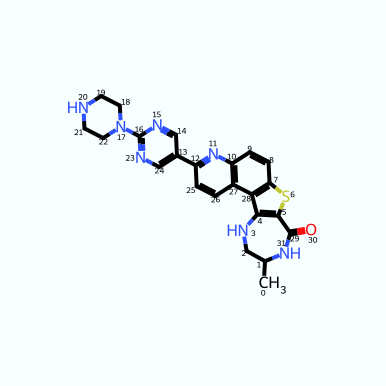 CC1CNc2c(sc3ccc4nc(-c5cnc(N6CCNCC6)nc5)ccc4c23)C(=O)N1